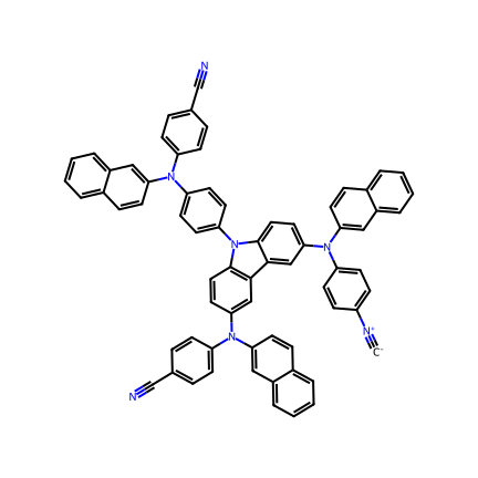 [C-]#[N+]c1ccc(N(c2ccc3ccccc3c2)c2ccc3c(c2)c2cc(N(c4ccc(C#N)cc4)c4ccc5ccccc5c4)ccc2n3-c2ccc(N(c3ccc(C#N)cc3)c3ccc4ccccc4c3)cc2)cc1